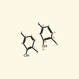 Cc1ccc(C)c(O)c1.Cc1ccc(C)c(O)c1